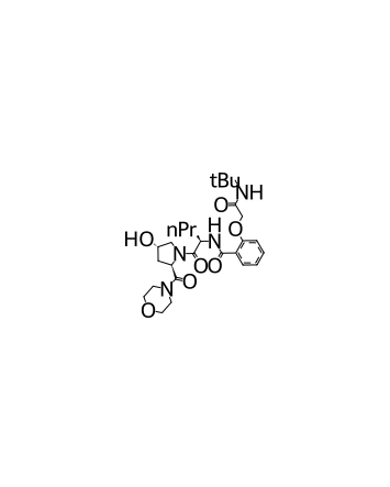 CCC[C@@H](NC(=O)c1ccccc1OCC(=O)NC(C)(C)C)C(=O)N1C[C@@H](O)C[C@@H]1C(=O)N1CCOCC1